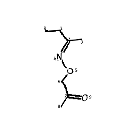 CCC(C)=NOCC(C)=O